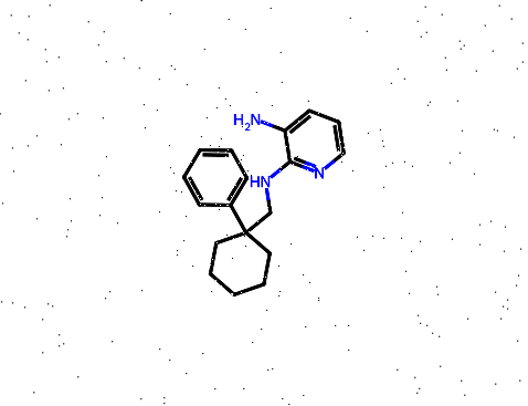 Nc1cccnc1NCC1(c2ccccc2)CCCCC1